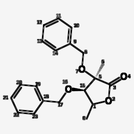 CC1OC(=O)[C@](C)(OCc2ccccc2)[C@@H]1OCc1ccccc1